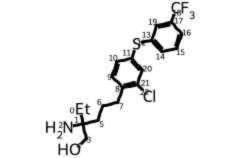 CCC(N)(CO)CCCc1ccc(Sc2cccc(C(F)(F)F)c2)cc1Cl